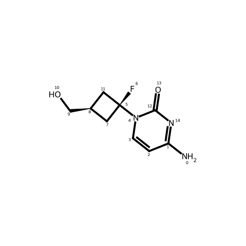 Nc1ccn([C@]2(F)C[C@@H](CO)C2)c(=O)n1